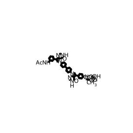 CC(=O)Nc1cccc(-c2cn(-c3ccc(-c4ccc(-n5cc(-c6ccc(OCC(C)(C)OP(=O)(O)O)cc6)c6c(=O)[nH]cnc65)cc4)cc3)c3c(=O)[nH]cnc23)c1